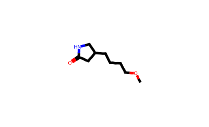 COCCC[CH]C1CNC(=O)C1